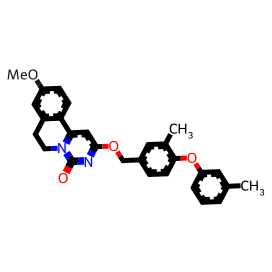 COc1ccc2c(c1)CCn1c-2cc(OCc2ccc(Oc3cccc(C)c3)c(C)c2)nc1=O